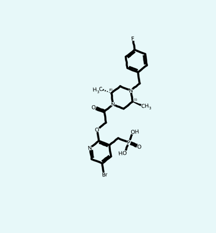 C[C@@H]1CN(Cc2ccc(F)cc2)[C@@H](C)CN1C(=O)COc1ncc(Br)cc1CP(=O)(O)O